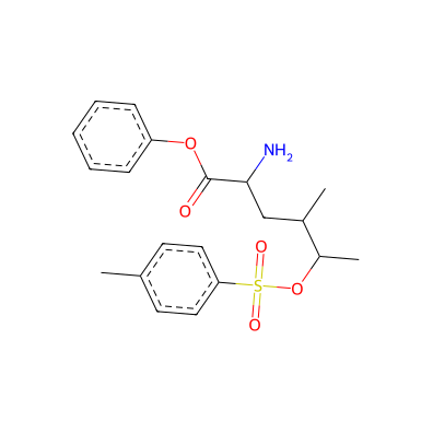 Cc1ccc(S(=O)(=O)OC(C)C(C)CC(N)C(=O)Oc2ccccc2)cc1